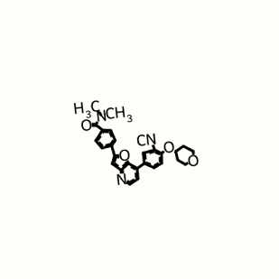 CN(C)C(=O)c1ccc(-c2cc3nccc(-c4ccc(OC5CCOCC5)c(C#N)c4)c3o2)cc1